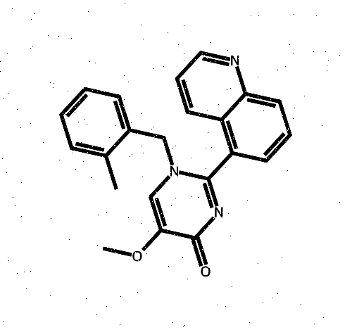 COc1cn(Cc2ccccc2C)c(-c2cccc3ncccc23)nc1=O